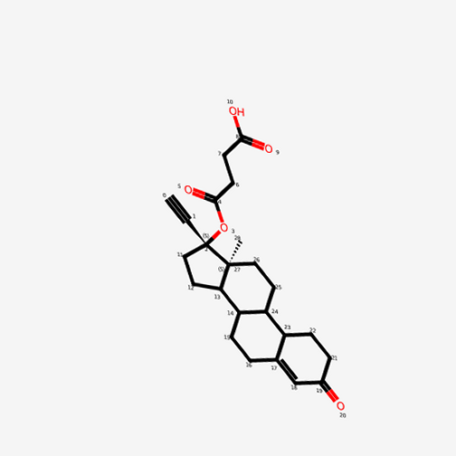 C#C[C@]1(OC(=O)CCC(=O)O)CCC2C3CCC4=CC(=O)CCC4C3CC[C@@]21C